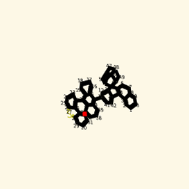 c1ccc2c3c(ccc2c1)C1(c2cc(-c4c5ccccc5c(-c5cccc6sc7ccccc7c56)c5ccccc45)ccc2-3)C2CC3CC(C2)CC1C3